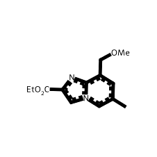 CCOC(=O)c1cn2cc(C)cc(COC)c2n1